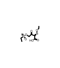 CCO/N=C(/C(=O)O)C(=O)COS(=O)(=O)CC